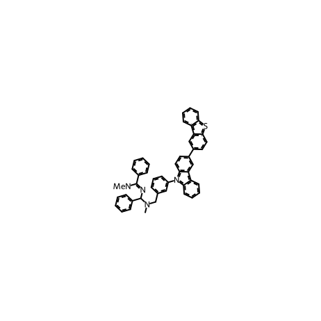 CN/C(=N\C(c1ccccc1)N(C)Cc1cccc(-n2c3ccccc3c3cc(-c4ccc5sc6ccccc6c5c4)ccc32)c1)c1ccccc1